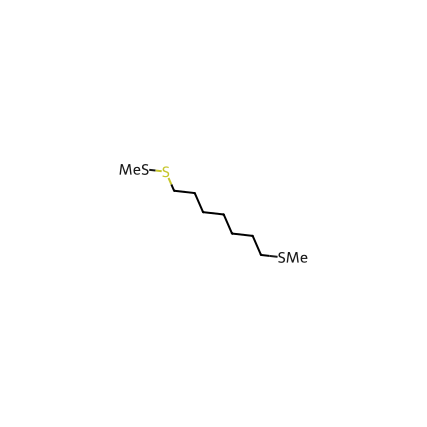 CSCCCCCCCSSC